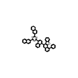 C1=Cc2cc(-c3nc(-c4ccc5ccccc5c4)nc(-c4ccc(-c5cc6cccc(-c7ccccc7)c6c6oc7ccccc7c56)c5ccccc45)n3)ccc2CC1